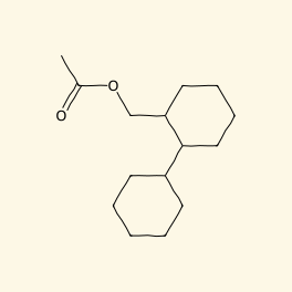 CC(=O)OCC1CCCCC1C1CCCCC1